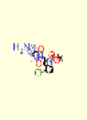 Cn1c(N)nc2c1c(=O)n(Cc1cc3c(Cl)cccc3n1C(=O)OC(C)(C)C)c(=O)n2C